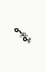 O=C(N/C=C/c1ccccc1)Nc1cccc([N+](=O)[O-])c1